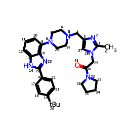 Cc1nc(CN2CCN(c3cccc4[nH]c(-c5ccc(C(C)(C)C)cc5)nc34)CC2)cn1CC(=O)N1CCCC1